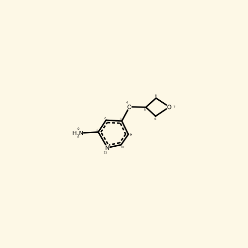 Nc1cc(OC2COC2)ccn1